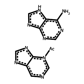 CC(=O)n1cncc2ncnc1-2.Nc1ncnc2nc[nH]c12